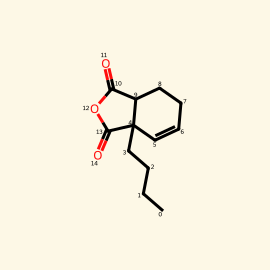 CCCCC12C=CCCC1C(=O)OC2=O